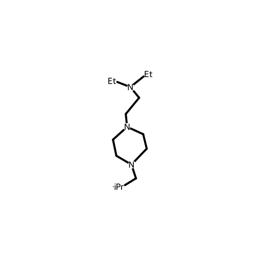 CCN(CC)CCN1CCN(C[C](C)C)CC1